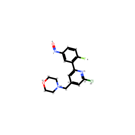 O=Nc1ccc(F)c(-c2cc(CN3CCOCC3)cc(Cl)n2)c1